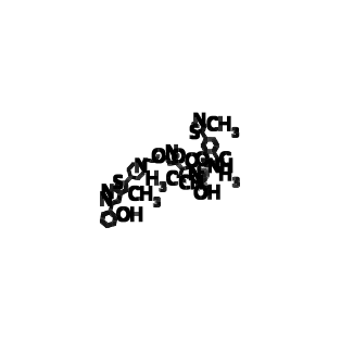 Cc1ncsc1-c1ccc(C(C)NC(=O)[C@@H]2C[C@@H](O)CN2C(=O)C(c2cc(OCCN3CCC(c4sc5nnc(-c6ccccc6O)cc5c4C)CC3)no2)C(C)C)cc1